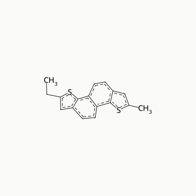 CCc1cc2ccc3c(ccc4cc(C)sc43)c2s1